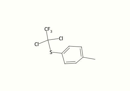 Cc1ccc(SC(Cl)(Cl)C(F)(F)F)cc1